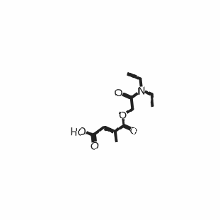 CCN(CC)C(=O)COC(=O)C(C)=CC(=O)O